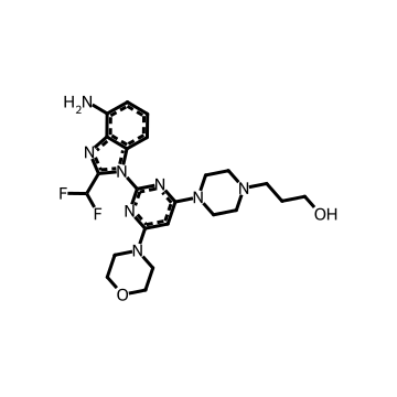 Nc1cccc2c1nc(C(F)F)n2-c1nc(N2CCOCC2)cc(N2CCN(CCCO)CC2)n1